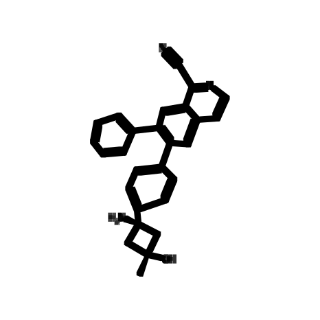 C[C@]1(O)C[C@@](N)(c2ccc(-c3cc4ccnc(C#N)c4cc3-c3ccccc3)cc2)C1